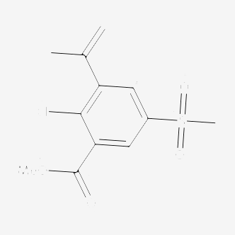 C=C(C)c1cc(S(C)(=O)=O)cc(C(=O)OC)c1Cl